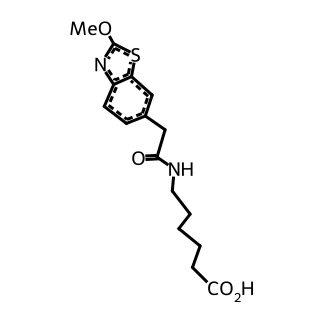 COc1nc2ccc(CC(=O)NCCCCCC(=O)O)cc2s1